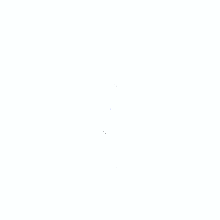 FC(F)(F)C1CCN(C/C=C/CN2CCC(C(F)(F)F)CC2)CC1